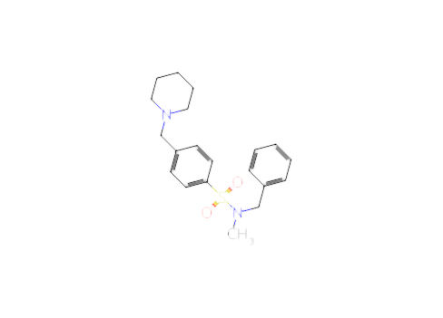 CN(Cc1ccccc1)S(=O)(=O)c1ccc(CN2CCCCC2)cc1